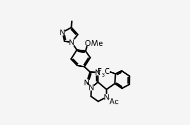 COc1cc(-c2nc3n(n2)CCN(C(C)=O)C3c2ccccc2C(F)(F)F)ccc1-n1cnc(C)c1